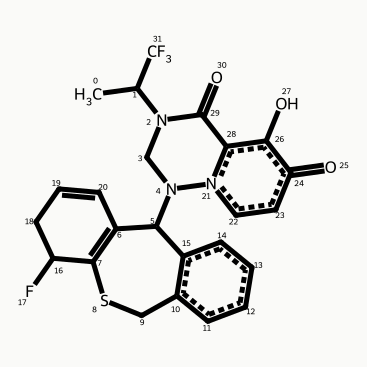 CC(N1CN(C2C3=C(SCc4ccccc42)C(F)CC=C3)n2ccc(=O)c(O)c2C1=O)C(F)(F)F